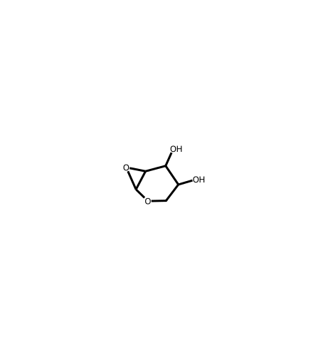 OC1COC2OC2C1O